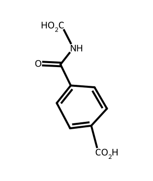 O=C(O)NC(=O)c1ccc(C(=O)O)cc1